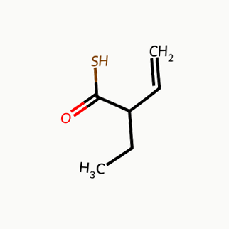 C=CC(CC)C(=O)S